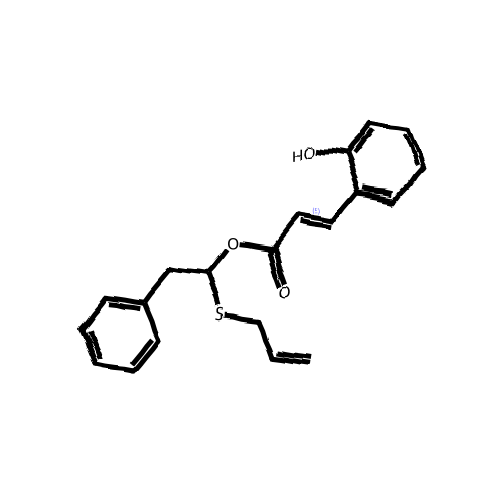 C=CCSC(Cc1ccccc1)OC(=O)/C=C/c1ccccc1O